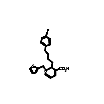 O=C(O)C1=CC=CN(Cc2cccs2)C1CCCCc1ccc(F)cc1